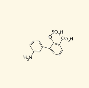 Nc1cccc(-c2cccc(C(=O)O)c2OS(=O)(=O)O)c1